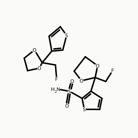 FCC1(c2ccsc2)OCCO1.NS(=O)(=O)c1sccc1C1(CF)OCCO1